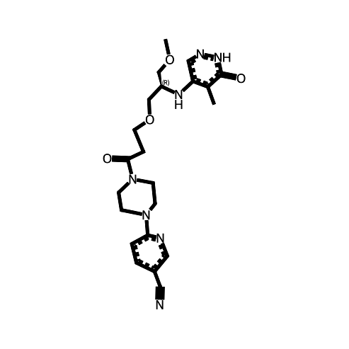 COC[C@H](COCCC(=O)N1CCN(c2ccc(C#N)cn2)CC1)Nc1cn[nH]c(=O)c1C